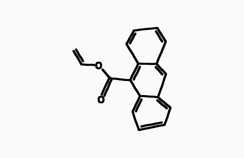 C=COC(=O)c1c2ccccc2cc2ccccc12